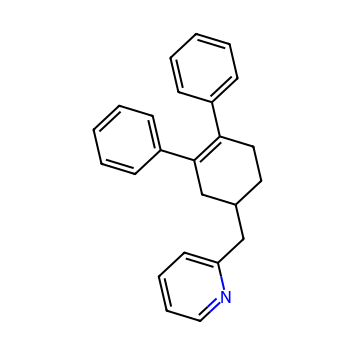 c1ccc(C2=C(c3ccccc3)CC(Cc3ccccn3)CC2)cc1